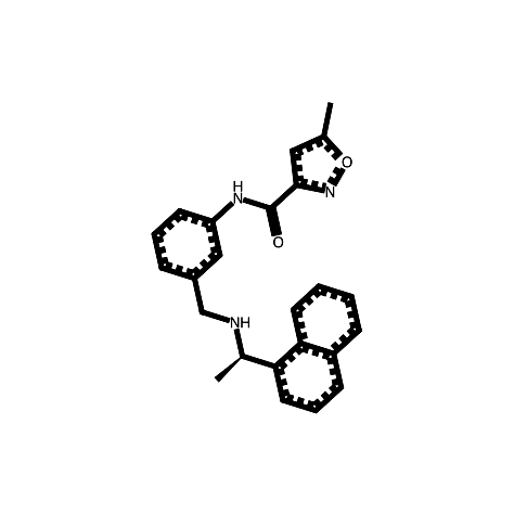 Cc1cc(C(=O)Nc2cccc(CN[C@H](C)c3cccc4ccccc34)c2)no1